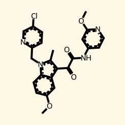 COc1ccc2c(c1)c(C(=O)C(=O)Nc1ccnc(OC)c1)c(C)n2Cc1ccc(Cl)cn1